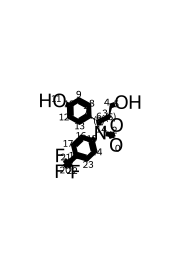 O=C1O[C@H](CO)[C@@H](c2ccc(O)cc2)N1c1ccc(C(F)(F)F)cc1